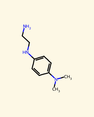 CN(C)c1ccc(NCCN)cc1